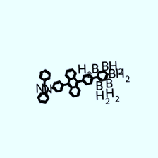 Bc1c(B)c(B)c(-c2ccc(-c3c4ccccc4c(-c4ccc(-n5c(-c6ccccc6)nc6ccccc65)cc4)c4ccccc34)cc2)c(B)c1B